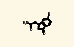 NC(=O)CC1CC(=O)c2ccc(F)cc21